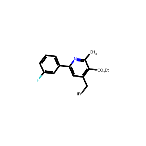 CCOC(=O)c1c(CC(C)C)cc(-c2cccc(F)c2)nc1C